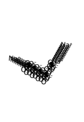 O=P([O-])([O-])OP(=O)([O-])[O-].O=P([O-])([O-])OP(=O)([O-])[O-].O=P([O-])([O-])OP(=O)([O-])[O-].O=P([O-])([O-])OP(=O)([O-])[O-].O=P([O-])([O-])OP(=O)([O-])[O-].[Na+].[Na+].[Na+].[Na+].[Na+].[Na+].[Na+].[Na+].[Na+].[Na+].[Na+].[Na+].[Na+].[Na+].[Na+].[Na+].[Na+].[Na+].[Na+].[Na+]